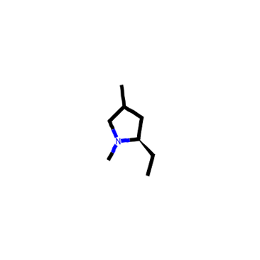 CC[C@@H]1CC(C)CN1C